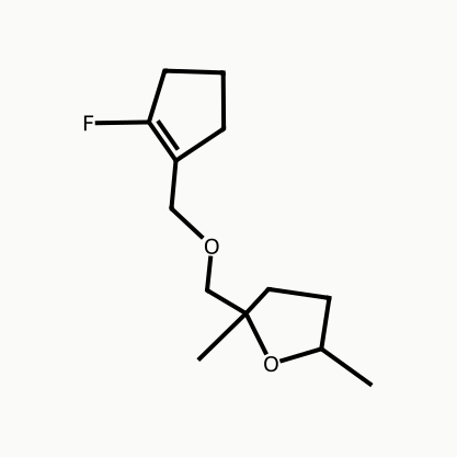 CC1CCC(C)(COCC2=C(F)CCC2)O1